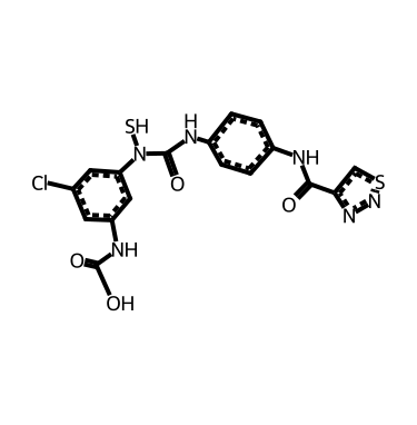 O=C(O)Nc1cc(Cl)cc(N(S)C(=O)Nc2ccc(NC(=O)c3csnn3)cc2)c1